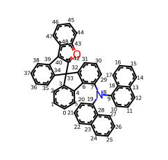 c1ccc2c(c1)-c1c(N(c3cccc4ccccc34)c3cccc4ccccc34)cccc1C21c2ccccc2-c2c1oc1ccccc21